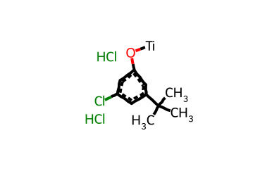 CC(C)(C)c1cc(Cl)cc([O][Ti])c1.Cl.Cl